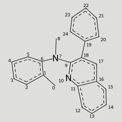 Cc1ccccc1N(C)c1nc2ccccc2cc1-c1ccccc1